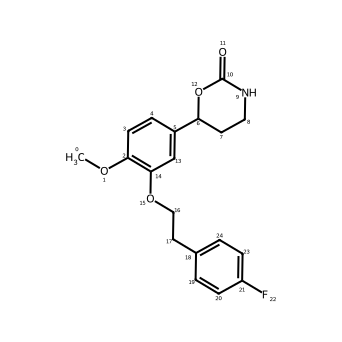 COc1ccc(C2CCNC(=O)O2)cc1OCCc1ccc(F)cc1